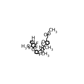 CCOC(=O)CCc1cccc2c1OCCC2(C)c1cn(C)c(-c2cc(Oc3c(F)c(F)c4[nH]ccc4c3SC)ccc2F)n1